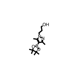 Cc1nn(CCCO)c(C)c1B1OC(C)(C)C(C)(C)O1